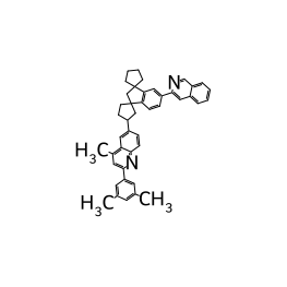 Cc1cc(C)cc(-c2cc(C)c3cc(C4CCC5(C4)CC4(CCCC4)c4cc(-c6cc7ccccc7cn6)ccc45)ccc3n2)c1